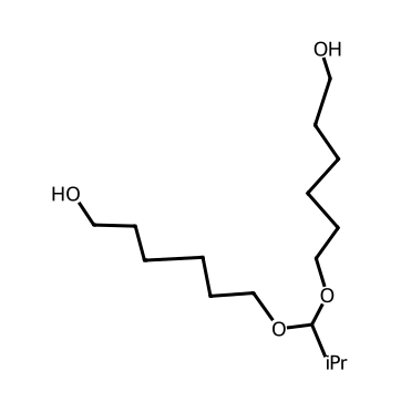 CC(C)C(OCCCCCCO)OCCCCCCO